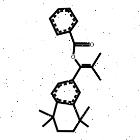 CC(C)=C(OC(=O)c1ccccc1)c1ccc2c(c1)C(C)(C)CCC2(C)C